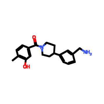 Cc1ccc(C(=O)N2CCC(c3cccc(CN)c3)CC2)cc1O